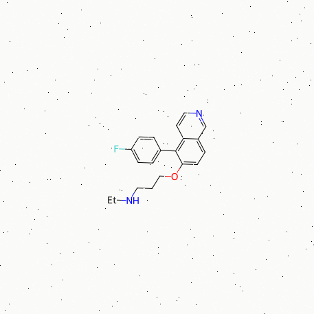 CCNCCCOc1ccc2cnccc2c1-c1ccc(F)cc1